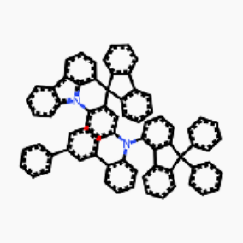 c1ccc(-c2cccc(-c3ccccc3N(c3ccc4c(c3)C3(c5ccccc5-c5ccccc53)c3cccc5c6ccccc6n-4c35)c3cccc4c3-c3ccccc3C4(c3ccccc3)c3ccccc3)c2)cc1